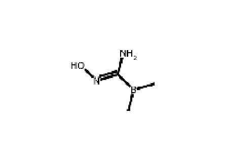 CB(C)/C(N)=N/O